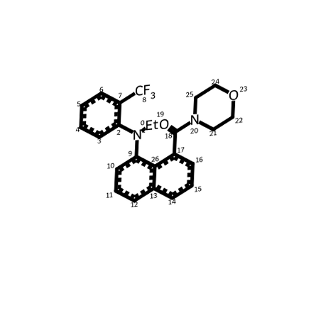 CCN(c1ccccc1C(F)(F)F)c1cccc2cccc(C(=O)N3CCOCC3)c12